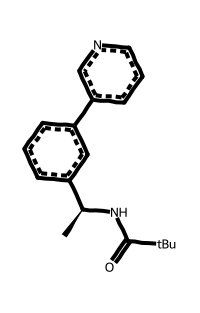 C[C@H](NC(=O)C(C)(C)C)c1cccc(-c2cccnc2)c1